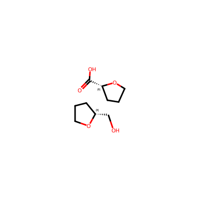 O=C(O)[C@H]1CCCO1.OC[C@H]1CCCO1